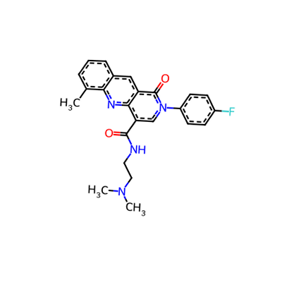 Cc1cccc2cc3c(=O)n(-c4ccc(F)cc4)cc(C(=O)NCCN(C)C)c3nc12